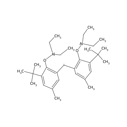 C[CH2][Al]([CH2]C)[O]c1c([C]c2cc(C)cc(C(C)(C)C)c2[O][Al]([CH2]C)[CH2]C)cc(C)cc1C(C)(C)C